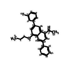 CCCOc1cc(-c2cccc(F)c2)cc2c(NC)nc(-c3cccnc3)nc12